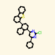 Clc1nc(-c2ccccc2)cc(-c2ccc(-c3cccc4c3sc3ccccc34)c3ccccc23)n1